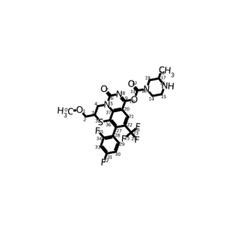 COCC1Cn2c(=O)nc(OC(=O)N3CCNC(C)C3)c3cc(C(F)(F)F)c(-c4ccc(F)cc4F)c(c32)S1